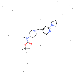 CN(C(=O)OC(C)(C)C)C1CCN(Cc2ccnc(N3CCCC3)c2)CC1